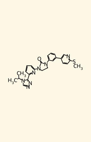 CSc1ccc(-c2cccc(N3CCN(c4cccc(-c5nncn5C(C)C)n4)C3=O)c2)cn1